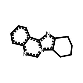 c1ccc2c(c1)ncn1c3c(nc21)CCCC3